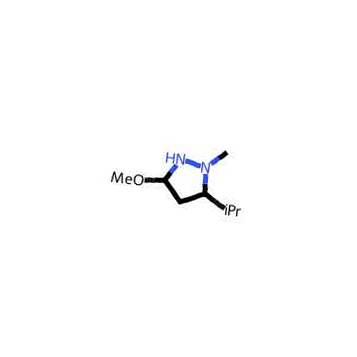 COC1CC(C(C)C)N(C)N1